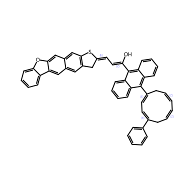 O/C(=C\C=C1/Cc2cc3cc4c(cc3cc2S1)oc1ccccc14)c1c2ccccc2c(/C2=C/C=C(/c3ccccc3)C/C=C\C=C/C2)c2ccccc12